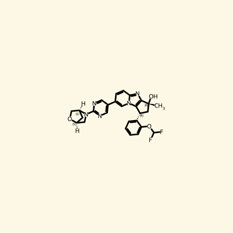 C[C@@]1(O)C[C@H](c2ccccc2OC(F)F)c2c1nc1ccc(-c3cnc(N4C[C@@H]5C[C@H]4CO5)nc3)cn21